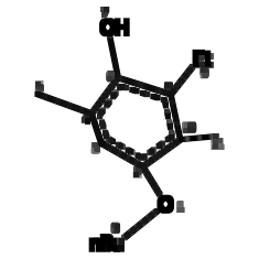 CCCCOc1cc(C)c(O)c(CC)c1C